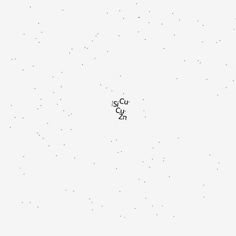 [Cu].[Cu].[Si].[Zn]